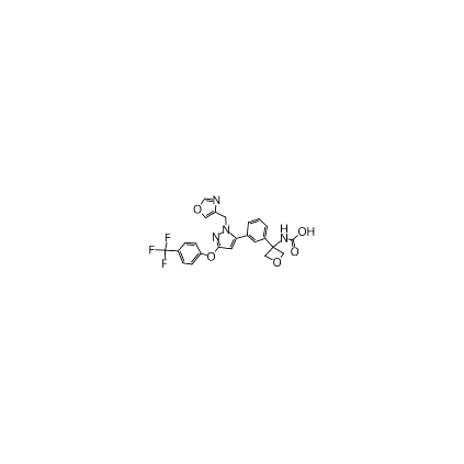 O=C(O)NC1(c2cccc(-c3cc(Oc4ccc(C(F)(F)F)cc4)nn3Cc3cocn3)c2)COC1